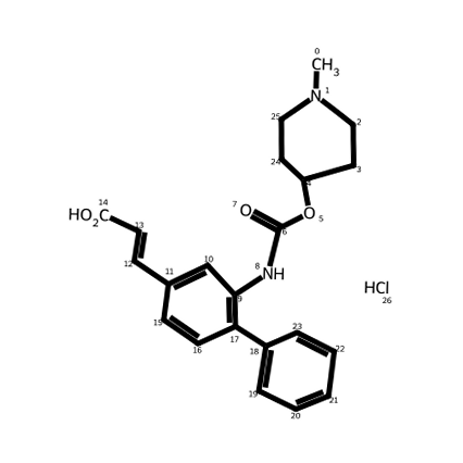 CN1CCC(OC(=O)Nc2cc(C=CC(=O)O)ccc2-c2ccccc2)CC1.Cl